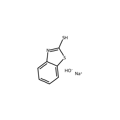 Sc1nc2ccccc2s1.[Na+].[OH-]